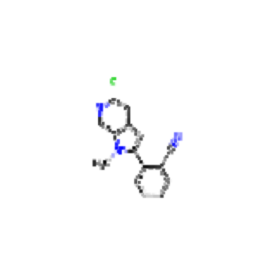 Cn1c(-c2ccccc2C#N)cc2cc(Cl)ncc21